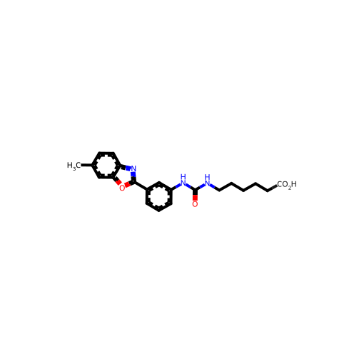 Cc1ccc2nc(-c3cccc(NC(=O)NCCCCCC(=O)O)c3)oc2c1